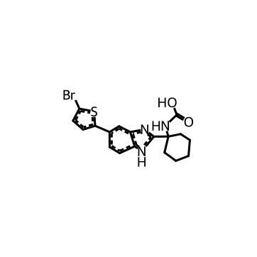 O=C(O)NC1(c2nc3cc(-c4ccc(Br)s4)ccc3[nH]2)CCCCC1